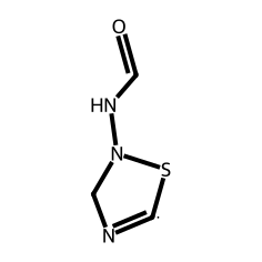 O=CNN1CN=[C]S1